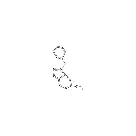 Cc1ccc2cnn(Cc3ccccc3)c2c1